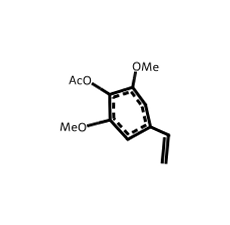 C=Cc1cc(OC)c(OC(C)=O)c(OC)c1